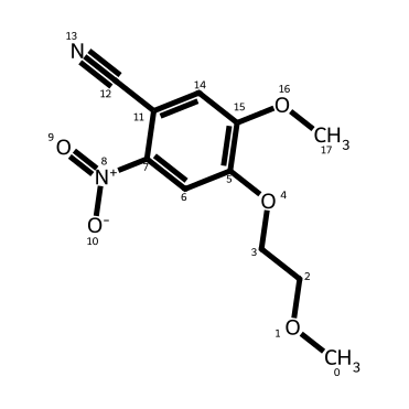 COCCOc1cc([N+](=O)[O-])c(C#N)cc1OC